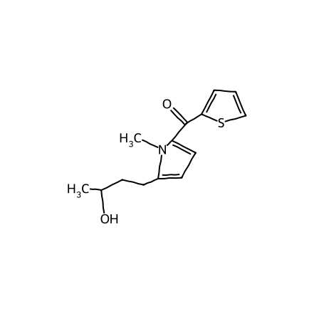 CC(O)CCc1ccc(C(=O)c2cccs2)n1C